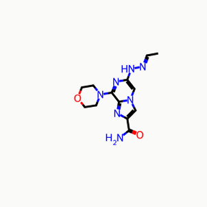 C/C=N/Nc1cn2cc(C(N)=O)nc2c(N2CCOCC2)n1